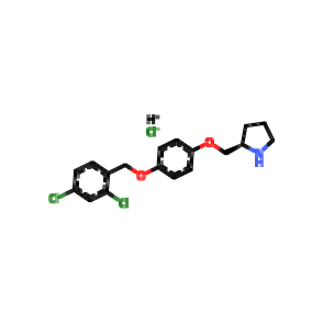 Clc1ccc(COc2ccc(OC[C@H]3CCCN3)cc2)c(Cl)c1.[Cl-].[H+]